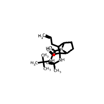 C=CCC1C2CCC(N2C(=O)O)C1(NC(C)=O)C(=O)NC(C)(C)C